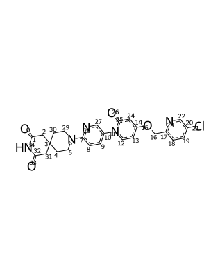 O=C1CC2(CCN(c3ccc(-n4ccc(OCc5ccc(Cl)cn5)cc4=O)cn3)CC2)CC(=O)N1